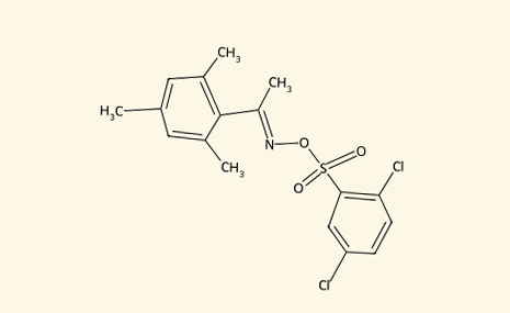 C/C(=N\OS(=O)(=O)c1cc(Cl)ccc1Cl)c1c(C)cc(C)cc1C